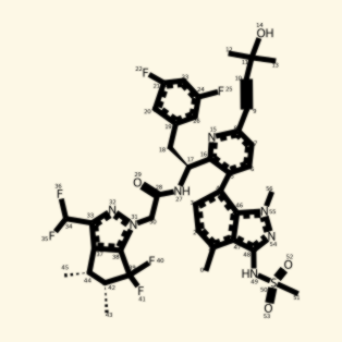 Cc1ccc(-c2ccc(C#CC(C)(C)O)nc2[C@H](Cc2cc(F)cc(F)c2)NC(=O)Cn2nc(C(F)F)c3c2C(F)(F)[C@H](C)[C@@H]3C)c2c1c(NS(C)(=O)=O)nn2C